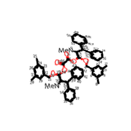 CNC(C(OCc1cc(C)cc(C)c1)OC(=O)C(=O)OC(OCc1cc(C)cc(C)c1)C(NC)C(c1ccccc1)c1ccccc1)C(c1ccccc1)c1ccccc1